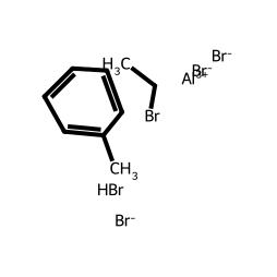 Br.CCBr.Cc1ccccc1.[Al+3].[Br-].[Br-].[Br-]